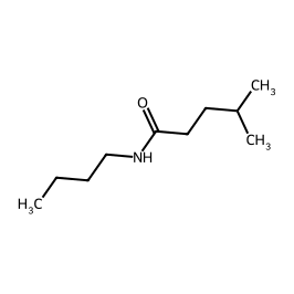 CCCCNC(=O)CCC(C)C